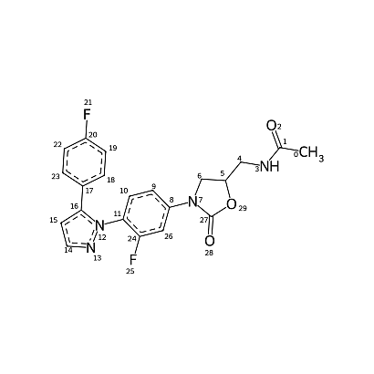 CC(=O)NCC1CN(c2ccc(-n3nccc3-c3ccc(F)cc3)c(F)c2)C(=O)O1